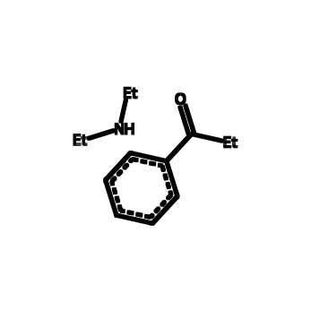 CCC(=O)c1ccccc1.CCNCC